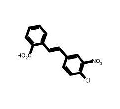 O=C(O)c1ccccc1C=Cc1ccc(Cl)c([N+](=O)[O-])c1